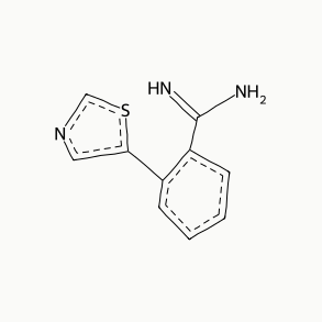 N=C(N)c1ccccc1-c1cncs1